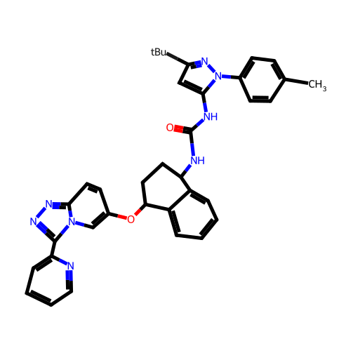 Cc1ccc(-n2nc(C(C)(C)C)cc2NC(=O)NC2CCC(Oc3ccc4nnc(-c5ccccn5)n4c3)c3ccccc32)cc1